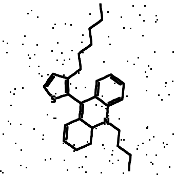 CCCCCCc1ccsc1C1=C2C=CCCC2N(CCCC)c2ccccc21